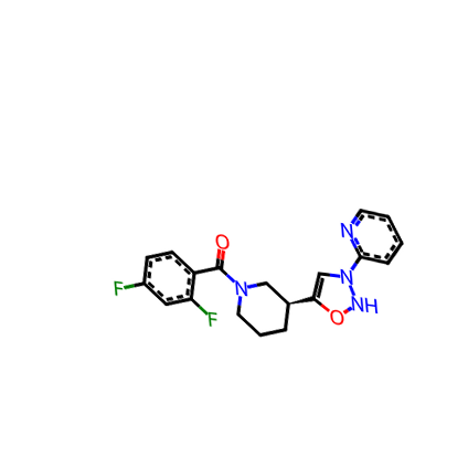 O=C(c1ccc(F)cc1F)N1CCC[C@H](C2=CN(c3ccccn3)NO2)C1